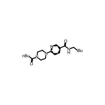 CCCCC(=O)N1CCN(c2ccc(C(=O)NCC(C)CC)cn2)CC1